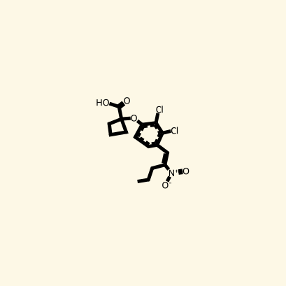 CCC/C(=C\c1ccc(OC2(C(=O)O)CCC2)c(Cl)c1Cl)[N+](=O)[O-]